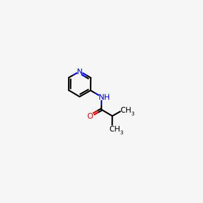 CC(C)C(=O)Nc1cccnc1